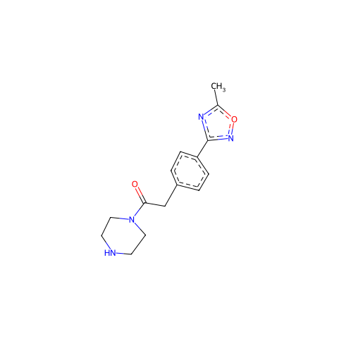 Cc1nc(-c2ccc(CC(=O)N3CCNCC3)cc2)no1